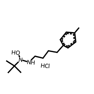 Cc1ccc(CCCCNN(O)C(C)(C)C)cc1.Cl